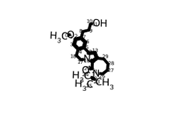 COc1cc2c(cc1CCCO)-c1cc3c(n1CC2)C(=O)N(C(C)(C)C)CCCC3